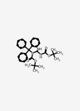 CC(C)(C)OC(=O)NC(=N)N(C(=O)OC(C)(C)C)C(c1ccccc1)(c1ccccc1)c1ccccc1